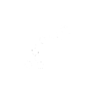 CCOC(C)OC(=O)COc1ccc(Oc2ccc([SH]3c4ccccc4-c4ccccc43)cc2)cc1